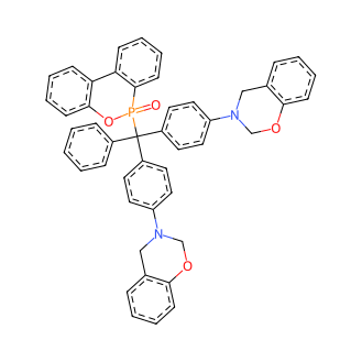 O=P1(C(c2ccccc2)(c2ccc(N3COc4ccccc4C3)cc2)c2ccc(N3COc4ccccc4C3)cc2)Oc2ccccc2-c2ccccc21